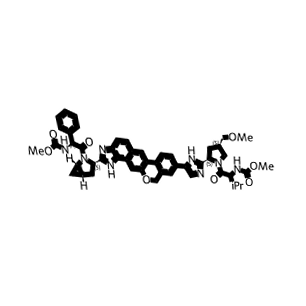 COC[C@H]1C[C@@H](c2ncc(-c3ccc4c(c3)COc3cc5c(ccc6nc([C@@H]7C[C@H]8C[C@H]8N7C(=O)[C@H](NC(=O)OC)c7ccccc7)[nH]c65)cc3-4)[nH]2)N(C(=O)C(NC(=O)OC)C(C)C)C1